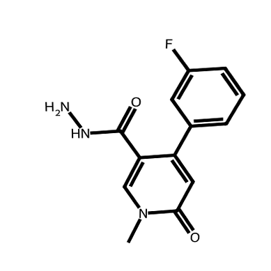 Cn1cc(C(=O)NN)c(-c2cccc(F)c2)cc1=O